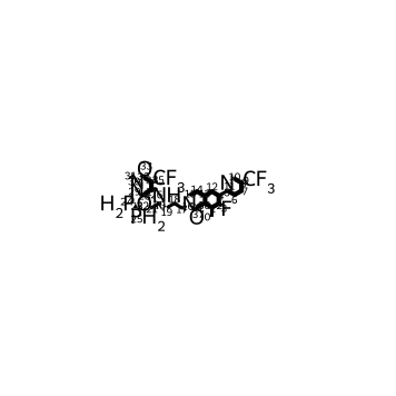 Cc1c(F)c(-c2ccc(C(F)(F)F)cn2)cc2ccn(CCC[C@H](COC(P)P)Nc3cnn(C)c(=O)c3C(F)(F)F)c(=O)c12